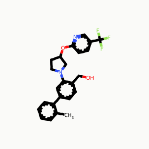 Cc1ccccc1-c1ccc(CO)c(N2CCC(Oc3ccc(C(F)(F)F)cn3)C2)c1